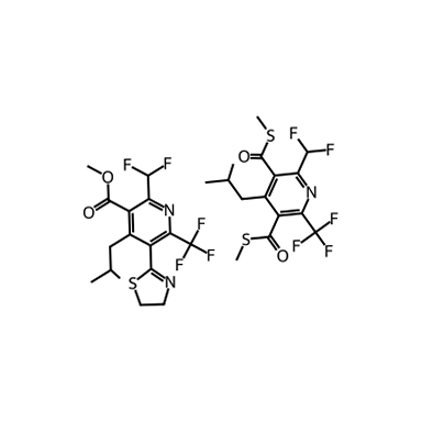 COC(=O)c1c(C(F)F)nc(C(F)(F)F)c(C2=NCCS2)c1CC(C)C.CSC(=O)c1c(C(F)F)nc(C(F)(F)F)c(C(=O)SC)c1CC(C)C